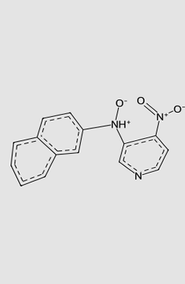 O=[N+]([O-])c1ccncc1[NH+]([O-])c1ccc2ccccc2c1